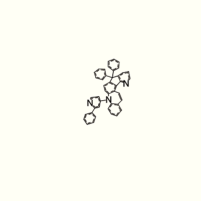 C1=Cc2c(ccc3c2-c2ncccc2C3(c2ccccc2)c2ccccc2)N(c2ccnc(-c3ccccc3)c2)c2ccccc21